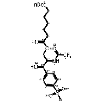 CCCCCCCCCCCCCCCC(=O)OCC(NC(=O)C(F)(F)F)C(O)c1ccc(S(C)(=O)=O)cc1